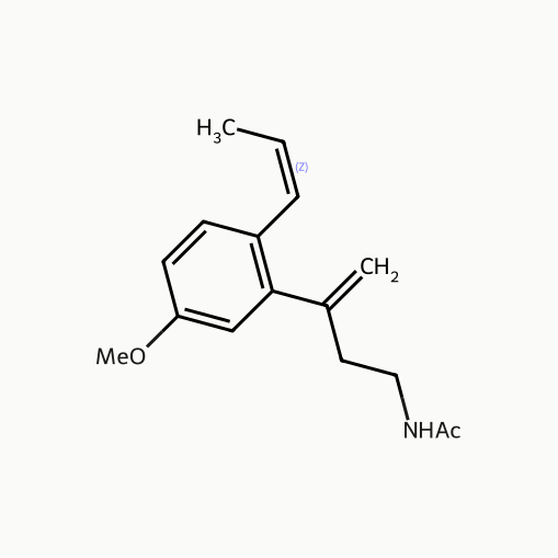 C=C(CCNC(C)=O)c1cc(OC)ccc1/C=C\C